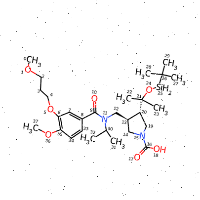 COCCCOc1cc(C(=O)N(C[C@@H]2CN(C(=O)O)C[C@H]2C(C)(C)O[SiH2]C(C)(C)C)C(C)C)ccc1OC